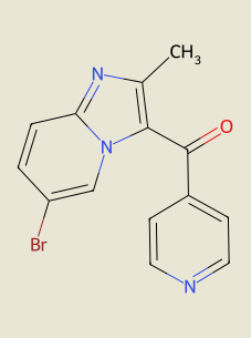 Cc1nc2ccc(Br)cn2c1C(=O)c1ccncc1